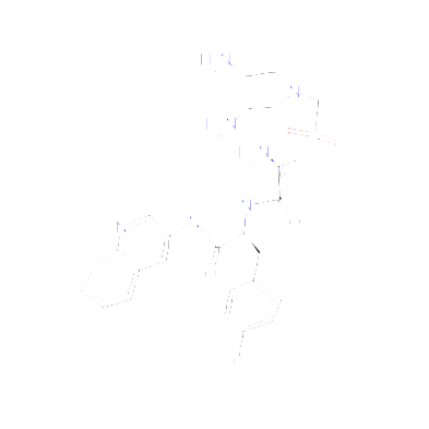 C[N+](CCN)(CCN)CS(=O)(=O)C[C@H](N)C(=O)N[C@@H](Cc1ccc(C(F)(F)F)cc1)C(=O)Nc1cnc2ccccc2c1